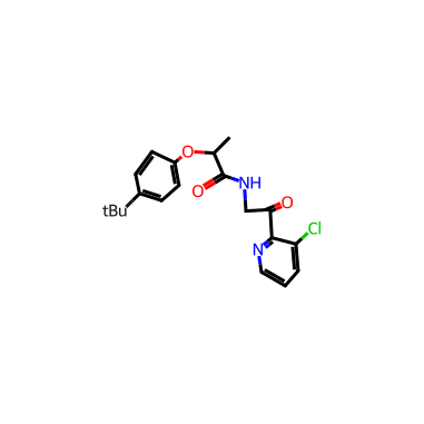 CC(Oc1ccc(C(C)(C)C)cc1)C(=O)NCC(=O)c1ncccc1Cl